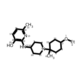 CCOC1CCC(C)(N2CCC(Nc3nc(C)ccc3O)CC2)CC1